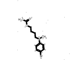 CC(=O)OCCCCN(C)c1ccc(Br)cc1